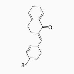 O=C1C2=CCCC=C2CC/C1=C\C1C=CC(Br)=CC1